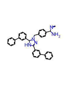 C=NC(N)c1ccc(CN2N=C(c3cccc(-c4ccccc4)c3)NC2c2cccc(-c3ccccc3)c2)cc1